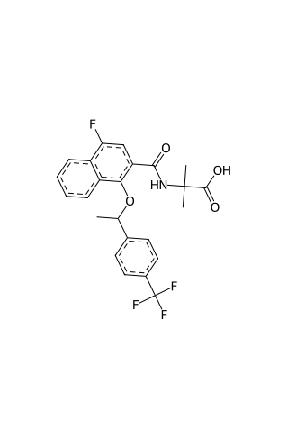 CC(Oc1c(C(=O)NC(C)(C)C(=O)O)cc(F)c2ccccc12)c1ccc(C(F)(F)F)cc1